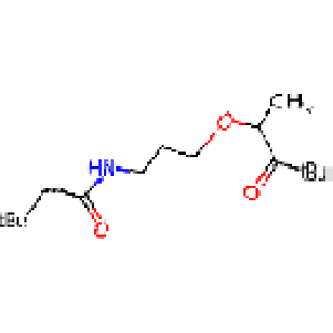 CC(OCCCNC(=O)CC(C)(C)C)C(=O)C(C)(C)C